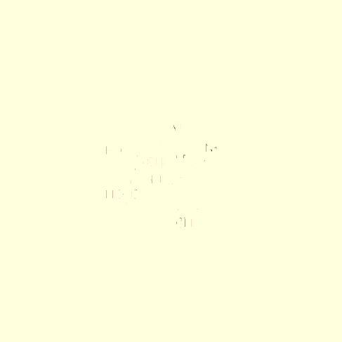 CC[C@@H](OC(C)(C)c1cccc(OCCn2cccc2C(=O)c2ccc(C)cc2)c1)C(=O)O